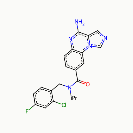 CC(C)N(Cc1ccc(F)cc1Cl)C(=O)c1ccc2nc(N)c3cncn3c2c1